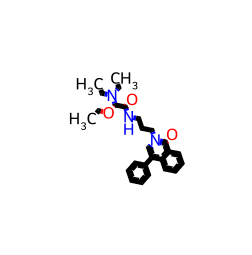 CCOC(C(=O)NCCCn1cc(-c2ccccc2)c2ccccc2c1=O)N(CC)CC